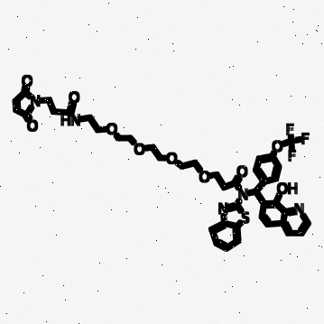 O=C(CCN1C(=O)C=CC1=O)NCCOCCOCCOCCOCCC(=O)N(c1nc2ccccc2s1)C(c1ccc(OC(F)(F)F)cc1)c1ccc2cccnc2c1O